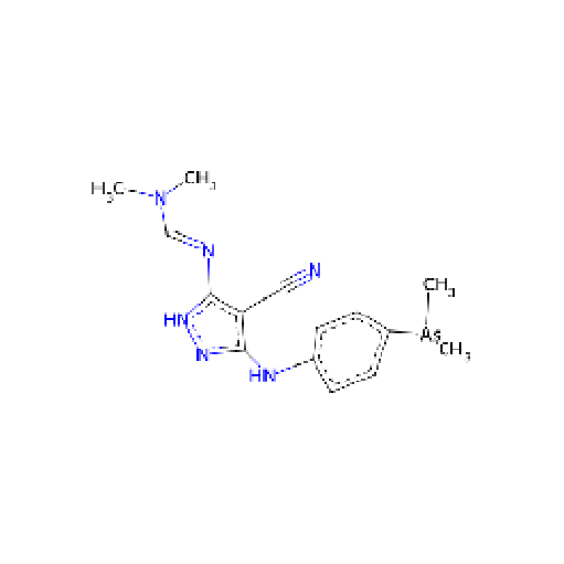 CN(C)/C=N/c1[nH]nc(Nc2ccc([As](C)C)cc2)c1C#N